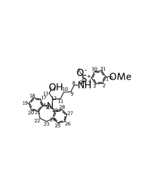 COc1ccc([S+]([O-])NCCCCC(CO)N2c3ccccc3CCc3ccccc32)cc1